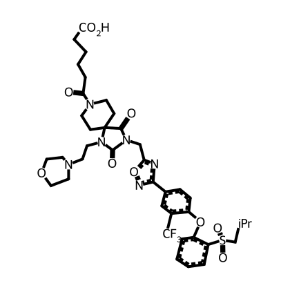 CC(C)CS(=O)(=O)c1ccccc1Oc1ccc(-c2noc(CN3C(=O)N(CCN4CCOCC4)C4(CCN(C(=O)CCCCC(=O)O)CC4)C3=O)n2)cc1C(F)(F)F